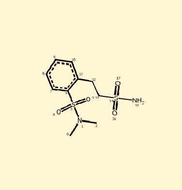 CN(C)S(=O)(=O)c1ccccc1CCS(N)(=O)=O